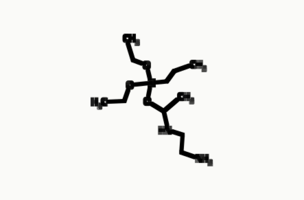 CCC[Si](OCC)(OCC)OC(C)NCCN